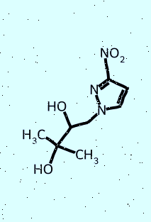 CC(C)(O)C(O)Cn1ccc([N+](=O)[O-])n1